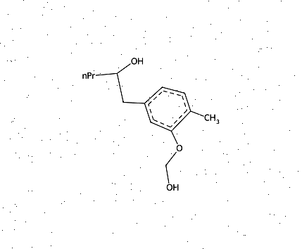 CCCC(O)Cc1ccc(C)c(OCO)c1